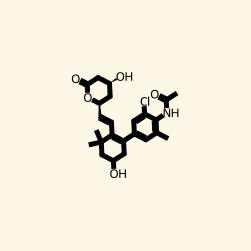 CC(=O)Nc1c(C)cc(C2=C(/C=C/[C@@H]3C[C@@H](O)CC(=O)O3)C(C)(C)CC(O)C2)cc1Cl